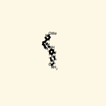 COc1ccc(-c2ccc3cnc(Nc4ccc(N5CCN(CC(N)=O)CC5)c(F)c4)nn23)cn1